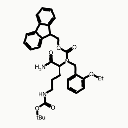 CCOc1ccccc1CN(C(=O)OCC1c2ccccc2-c2ccccc21)[C@@H](CCCNC(=O)OC(C)(C)C)C(N)=O